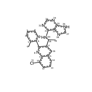 Cc1cccnc1-c1nc2c(Cl)cccc2cc1C(C)Nc1ncnc2[nH]cnc12